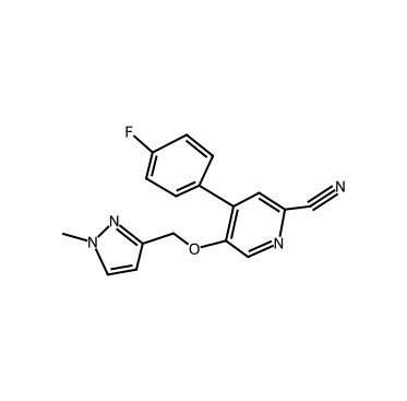 Cn1ccc(COc2cnc(C#N)cc2-c2ccc(F)cc2)n1